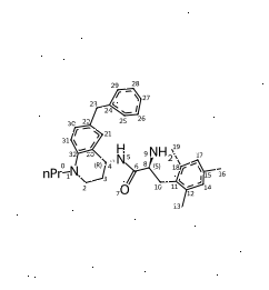 CCCN1CC[C@@H](NC(=O)[C@@H](N)Cc2c(C)cc(C)cc2C)c2cc(Cc3ccccc3)ccc21